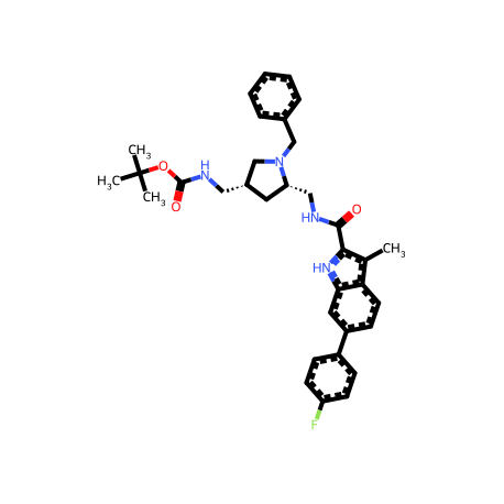 Cc1c(C(=O)NC[C@@H]2C[C@H](CNC(=O)OC(C)(C)C)CN2Cc2ccccc2)[nH]c2cc(-c3ccc(F)cc3)ccc12